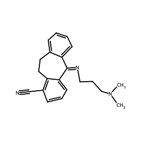 CN(C)CCCN=C1c2ccccc2CCc2c(C#N)cccc21